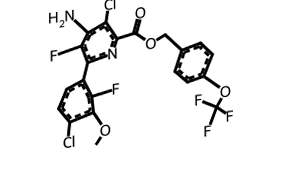 COc1c(Cl)ccc(-c2nc(C(=O)OCc3ccc(OC(F)(F)F)cc3)c(Cl)c(N)c2F)c1F